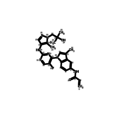 C=CC(=O)Nc1ccc2c(c1)c(C)cn2-c1nc(Nc2cnn(CC(C)(C)O)c2C)ncc1F